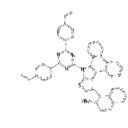 C=Cc1ccc(-c2nc(-c3ccc(C=C)cc3)nc(-n3c4sc5[nH]c6ccc7ccccc7c6c5c4c4c5ccccc5c5ccccc5c43)n2)cc1